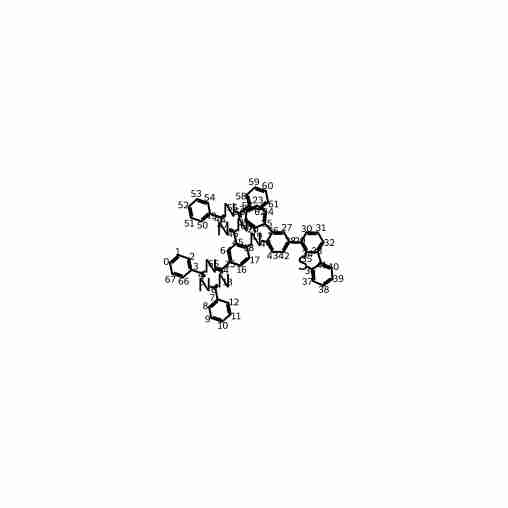 c1ccc(-c2nc(-c3ccccc3)nc(-c3ccc(-n4c5ccccc5c5cc(-c6cccc7c6sc6ccccc67)ccc54)c(-c4nc(-c5ccccc5)nc(-c5ccccc5)n4)c3)n2)cc1